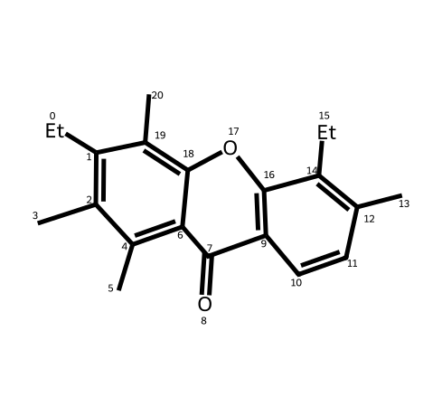 CCc1c(C)c(C)c2c(=O)c3ccc(C)c(CC)c3oc2c1C